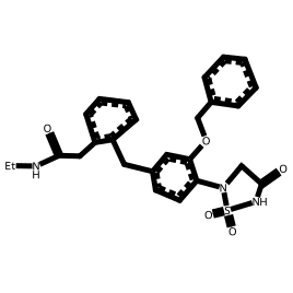 CCNC(=O)Cc1ccccc1Cc1ccc(N2CC(=O)NS2(=O)=O)c(OCc2ccccc2)c1